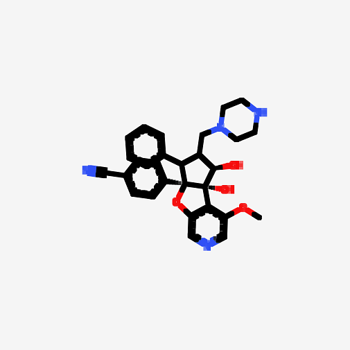 COc1cncc2c1[C@]1(O)[C@H](O)C(CN3CCNCC3)C(c3ccccc3)[C@]1(c1ccc(C#N)cc1)O2